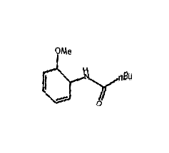 CCCCC(=O)NC1C=CC=CC1OC